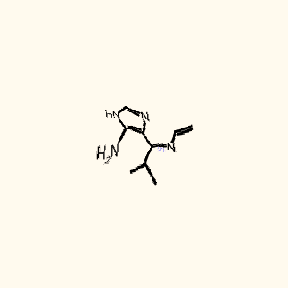 C=C/N=C(\c1nc[nH]c1N)C(C)C